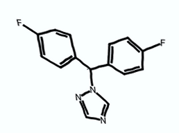 Fc1ccc([C](c2ccc(F)cc2)n2cncn2)cc1